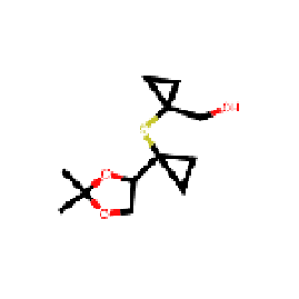 CC1(C)OCC(C2(SC3(CO)CC3)CC2)O1